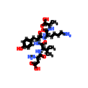 CC(C)[C@H](NC(=O)[C@@H](N)CC(=O)O)C(=O)N[C@@H](Cc1ccc(O)cc1)C(=O)N[C@@H](CCCCN)C(=O)N[C@@H](C)C(=O)O